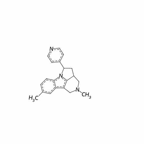 Cc1ccc2c(c1)c1c3n2C(c2ccncc2)CC3CN(C)C1